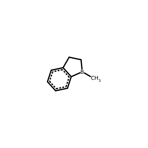 CB1CCc2ccccc21